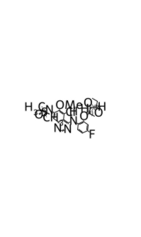 COc1c(N=S(C)(C)=O)cc2ncnc(Nc3ccc(F)cc3O[C@@H]3CO[C@@H]4CCO[C@@H]43)c2c1Cl